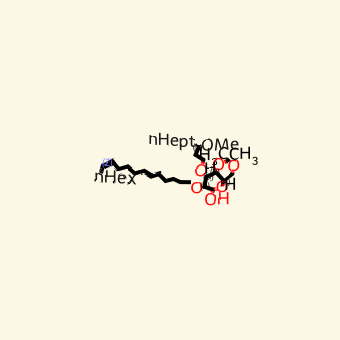 CCCCCC/C=C\CCCCCCCCCCO[C@H]1C(O)O[C@@H]2COC(C)(C)O[C@H]2[C@@H]1OCC[C@@H](CCCCCCC)OC